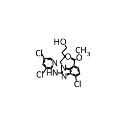 COC(=O)c1ccc(Cl)c2nc(Nc3ncc(Cl)cc3Cl)n(CCCCO)c12